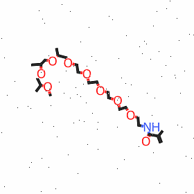 C=C(C)C(=O)NCCOCCOCCOCCOCCOCC(C)OCC(C)OCC(C)OC